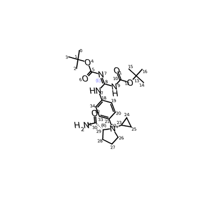 CC(C)(C)OC(=O)/N=C(/NC(=O)OC(C)(C)C)Nc1ccc([N+]2(C3CC3)CCC[C@@H]2C(N)=O)cc1